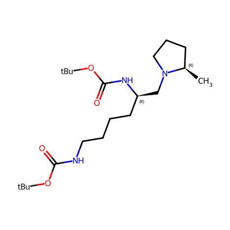 C[C@@H]1CCCN1C[C@@H](CCCCNC(=O)OC(C)(C)C)NC(=O)OC(C)(C)C